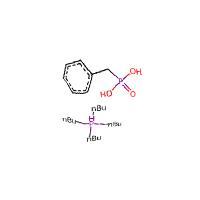 CCCC[PH](CCCC)(CCCC)CCCC.O=P(O)(O)Cc1ccccc1